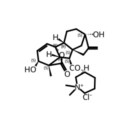 C=C1C[C@]23C[C@@]1(O)CC[C@H]2[C@@]12C=C[C@H](O)[C@@](C)(C(=O)O1)[C@H]2[C@@H]3C(=O)O.C[N+]1(C)CCCCC1.[Cl-]